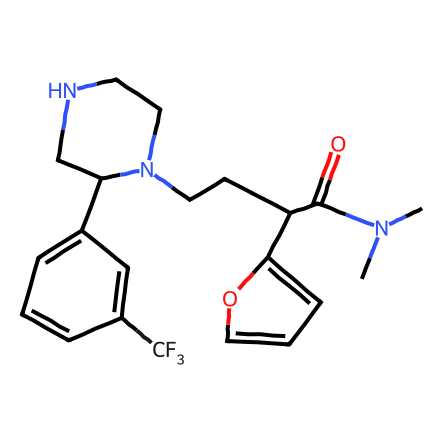 CN(C)C(=O)C(CCN1CCNCC1c1cccc(C(F)(F)F)c1)c1ccco1